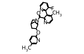 Cc1ccc(OC2CC3CC2N(C(=O)c2nccc(C)c2-c2ncccc2F)C3)nc1